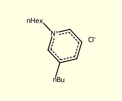 CCCCCC[n+]1cccc(CCCC)c1.[Cl-]